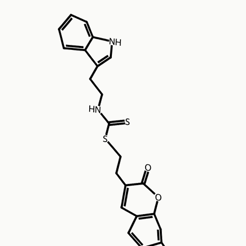 Cc1ccc2cc(CCSC(=S)NCCc3c[nH]c4ccccc34)c(=O)oc2c1